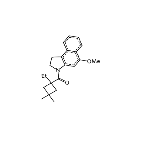 CCC1(C(=O)N2CCc3c2cc(OC)c2ccccc32)CC(C)(C)C1